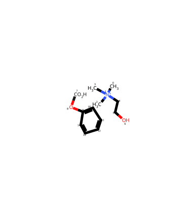 C[N+](C)(C)CCO.O=C(O)Oc1ccccc1